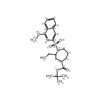 CCC1CN(C(=O)OC(C)(C)C)CCCN1S(=O)(=O)c1cc2ccccc2c(OC)n1